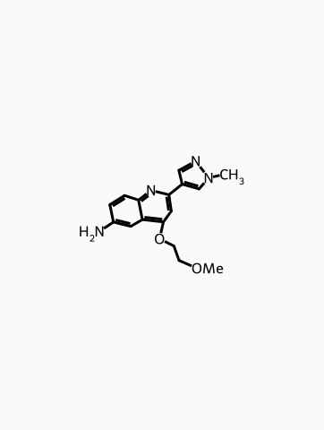 COCCOc1cc(-c2cnn(C)c2)nc2ccc(N)cc12